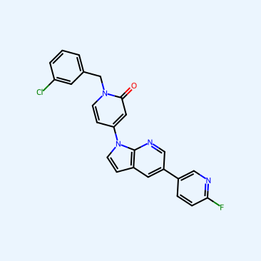 O=c1cc(-n2ccc3cc(-c4ccc(F)nc4)cnc32)ccn1Cc1cccc(Cl)c1